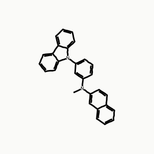 CN(c1cccc(-n2c3ccccc3c3ccccc32)c1)c1ccc2ccccc2c1